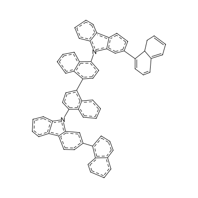 C1=CCC2C(=C1)C=CC=C2c1ccc2c3ccccc3n(-c3ccc(-c4ccc(-n5c6ccccc6c6ccc(-c7cccc8ccccc78)cc65)c5ccccc45)c4ccccc34)c2c1